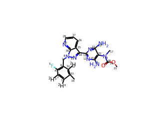 [2H]c1c([2H])c(F)c(Cn2nc(-c3nc(N)c(N(C)C(=O)OC)c(N)n3)c3cccnc32)c([2H])c1C